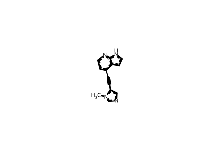 Cn1cncc1C#Cc1ccnc2[nH]ccc12